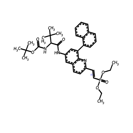 CCOP(=O)(/C=C/c1ccc2cc(NC(=O)C(NC(=O)OC(C)(C)C)C(C)(C)C)cc(-c3cccc4ccccc34)c2n1)OCC